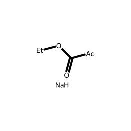 CCOC(=O)C(C)=O.[NaH]